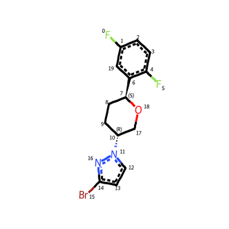 Fc1ccc(F)c([C@@H]2CC[C@@H](n3ccc(Br)n3)CO2)c1